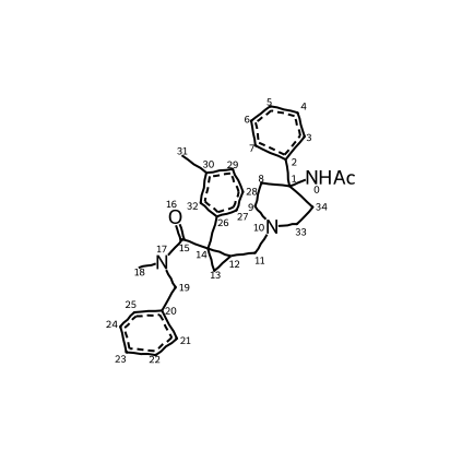 CC(=O)NC1(c2ccccc2)CCN(CC2CC2(C(=O)N(C)Cc2ccccc2)c2cccc(C)c2)CC1